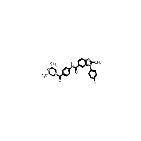 Cc1nc2ccc(C(=O)Nc3ccc(C(=O)N4C[C@@H](C)O[C@@H](C)C4)cc3)cc2n1-c1ccc(F)cc1